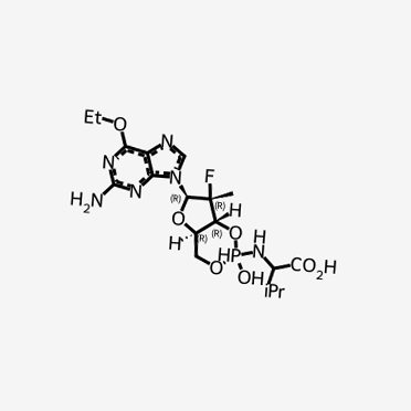 CCOc1nc(N)nc2c1ncn2[C@@H]1O[C@@H]2CO[PH](O)(NC(C(=O)O)C(C)C)O[C@H]2[C@@]1(C)F